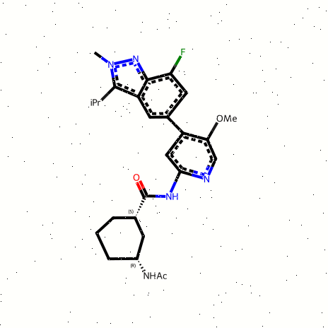 COc1cnc(NC(=O)[C@H]2CCC[C@@H](NC(C)=O)C2)cc1-c1cc(F)c2nn(C)c(C(C)C)c2c1